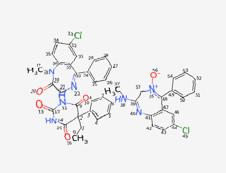 CCC1(c2ccccc2)C(=O)NC(=O)NC1=O.CN1C(=O)CN=C(c2ccccc2)c2cc(Cl)ccc21.CNC1=Nc2ccc(Cl)cc2C(c2ccccc2)=[N+]([O-])C1